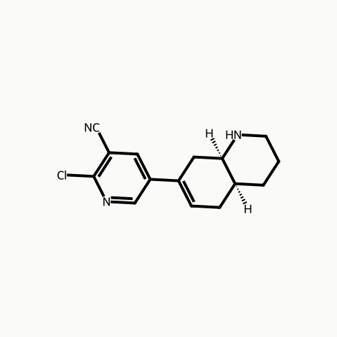 N#Cc1cc(C2=CC[C@@H]3CCCN[C@@H]3C2)cnc1Cl